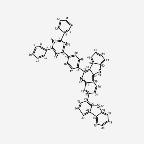 c1ccc(-c2nc(-c3ccccc3)nc(-c3ccc(-c4nc5cc(-c6cccc7c6sc6ccccc67)ccc5c5sc6ccccc6c45)cc3)n2)cc1